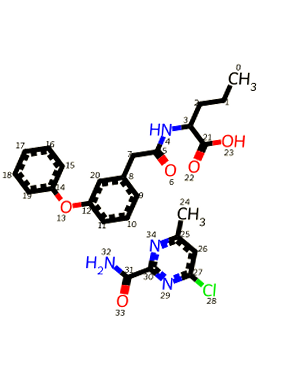 CCCC(NC(=O)Cc1cccc(Oc2ccccc2)c1)C(=O)O.Cc1cc(Cl)nc(C(N)=O)n1